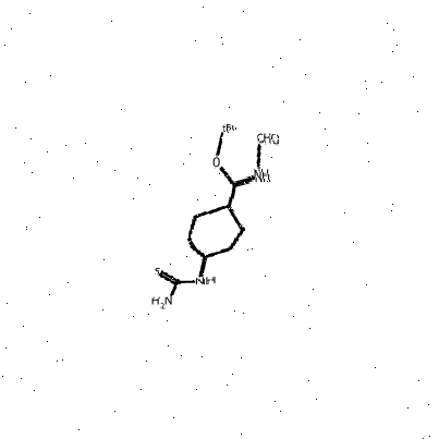 CC(C)(C)OC(NC=O)C1CCC(NC(N)=S)CC1